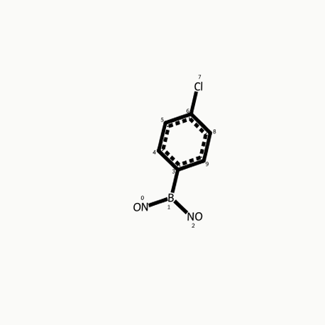 O=NB(N=O)c1ccc(Cl)cc1